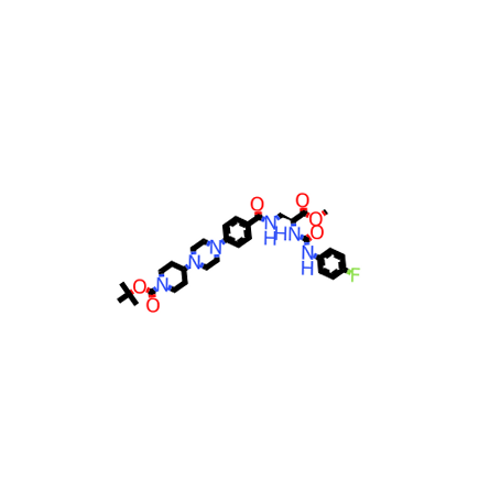 COC(=O)[C@H](CNC(=O)c1ccc(N2CCN(C3CCN(C(=O)OC(C)(C)C)CC3)CC2)cc1)NC(=O)Nc1ccc(F)cc1